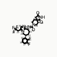 O=C1CC2(CCN(C(=O)N[C@@H]3CC[C@@H](c4cccc(F)c4F)Cn4c(CC(F)(F)F)cnc43)CC2)C(=O)N1